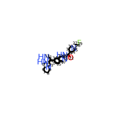 CN/C(CN1CCCCC1)=C(\C=N)c1ccc2cnc(NC(=O)C3CCN(CCF)CC3)cc2c1